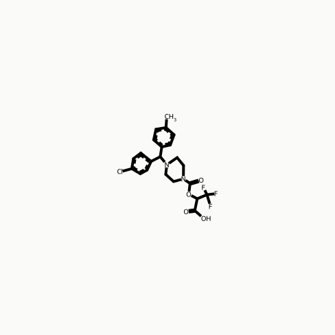 Cc1ccc(C(c2ccc(Cl)cc2)N2CCN(C(=O)OC(C(=O)O)C(F)(F)F)CC2)cc1